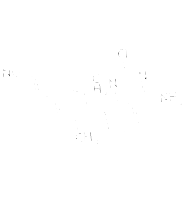 Cc1cc(C=CC#N)cc(C)c1-c1cccc2c(N)nc(Cl)nc12